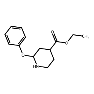 CCOC(=O)C1CCNC(Oc2ccccc2)C1